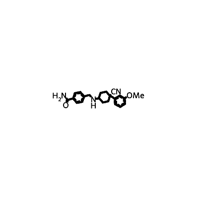 COc1cccc(C2(C#N)CCC(NCc3ccc(C(N)=O)cc3)CC2)c1